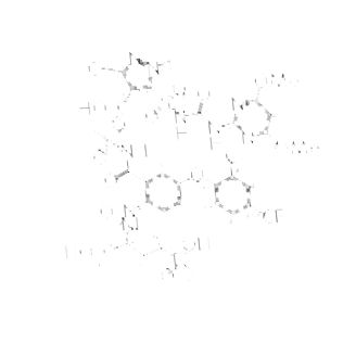 COc1cc(OC)nc(NC(=O)NS(=O)(=O)c2c(C(=O)O)c(Cl)nn2C)n1.CP(=O)(O)CCC(N)C(=O)O.CS(=O)(=O)NC(=O)c1cc(Oc2ccc(C(F)(F)F)cc2Cl)ccc1[N+](=O)[O-]